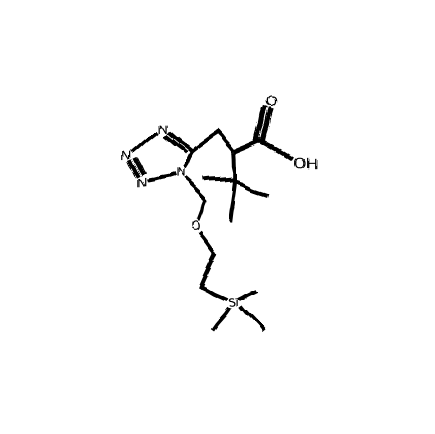 CC(C)(C)C(Cc1nnnn1COCC[Si](C)(C)C)C(=O)O